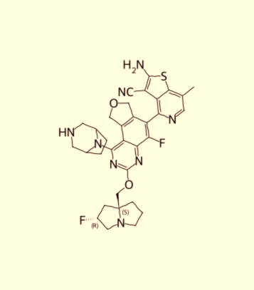 Cc1cnc(-c2c3c(c4c(N5C6CCC5CNC6)nc(OC[C@@]56CCCN5C[C@H](F)C6)nc4c2F)COC3)c2c(C#N)c(N)sc12